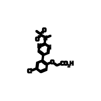 CN(c1ncc(-c2cc(Cl)ccc2OCC(=O)O)cn1)S(C)(=O)=O